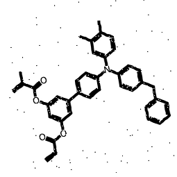 C=CC(=O)Oc1cc(OC(=O)C(=C)C)cc(-c2ccc(N(c3ccc(Cc4ccccc4)cc3)c3ccc(C)c(C)c3)cc2)c1